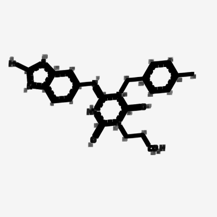 CCc1nc2ccc(/N=c3\[nH]c(=O)n(CCC(=O)O)c(=O)n3Cc3ccc(C)cc3)cc2s1